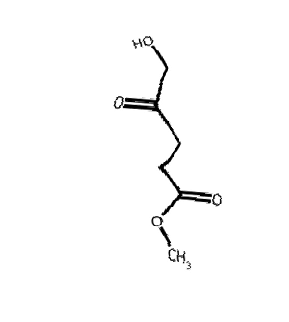 COC(=O)CCC(=O)CO